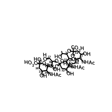 CC(=O)NC1C(O)CC(OC(CO)C(O)C2OC(OC(CO)C(O)C3OC(O)(C(=O)O)CC(O)C3NC(C)=O)(C(=O)O)CC(O)C2NC(C)=O)(C(=O)O)OC1CN